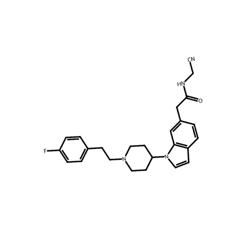 N#CCNC(=O)Cc1ccc2ccn(C3CCN(CCc4ccc(F)cc4)CC3)c2c1